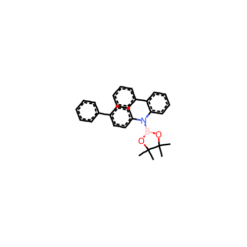 CC1(C)OB(N(c2ccc(-c3ccccc3)cc2)c2ccccc2-c2ccccc2)OC1(C)C